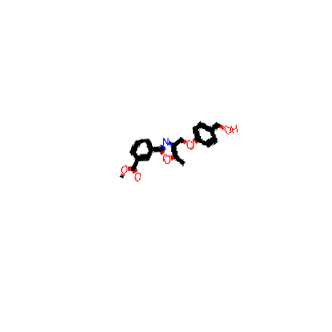 COC(=O)c1cccc(-c2nc(COc3ccc(CO)cc3)c(C)o2)c1